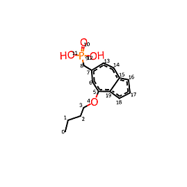 CCCCOc1cc(CP(=O)(O)O)ccc2cccc1-2